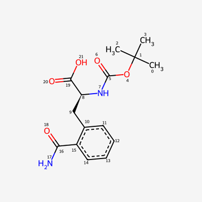 CC(C)(C)OC(=O)N[C@@H](Cc1ccccc1C(N)=O)C(=O)O